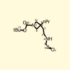 CCCC1(CCNCB=O)CN(C(=O)OC(C)(C)C)C1